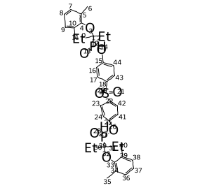 CCC(CC)(Oc1c(C)cccc1C)[PH](=O)Oc1ccc(S(=O)(=O)c2ccc(O[PH](=O)C(CC)(CC)Oc3c(C)cccc3C)cc2)cc1